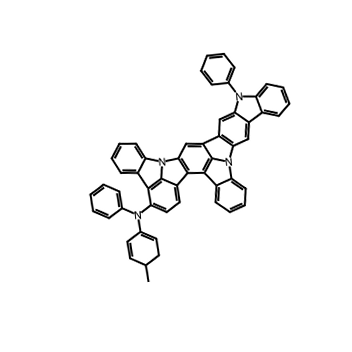 CC1C=CC(N(c2ccccc2)c2ccc3c4c5c6ccccc6n6c7cc8c9ccccc9n(-c9ccccc9)c8cc7c(cc4n4c7ccccc7c2c34)c56)=CC1